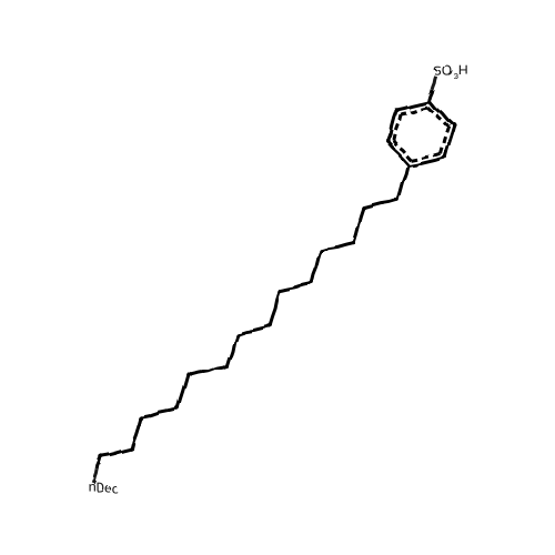 CCCCCCCCCCCCCCCCCCCCCCCCc1ccc(S(=O)(=O)O)cc1